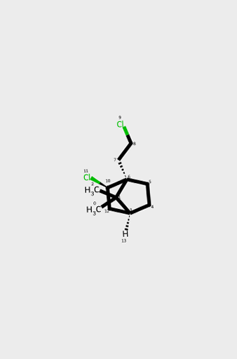 CC1(C)[C@H]2CC[C@]1(CCCl)[C@H](Cl)C2